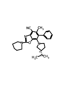 Cc1c(-c2ccccc2)c(N2CC[C@H](N(C)C)C2)c2oc(N3CCCCC3)nc2c1C#N